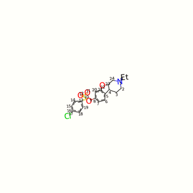 CCN1CCC2c3ccc(OS(=O)(=O)c4ccc(Cl)cc4)cc3OC2C1